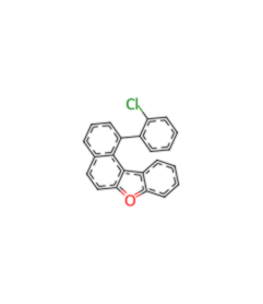 Clc1ccccc1-c1cccc2ccc3oc4ccccc4c3c12